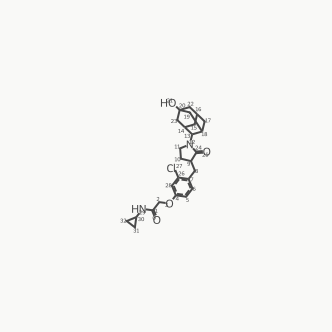 O=C(COc1ccc(CC2CCN(C3C4CC5CC3CC(O)(C5)C4)C2=O)c(Cl)c1)NC1CC1